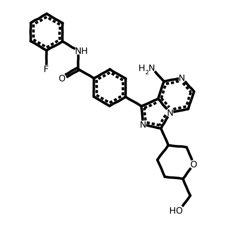 Nc1nccn2c(C3CCC(CO)OC3)nc(-c3ccc(C(=O)Nc4ccccc4F)cc3)c12